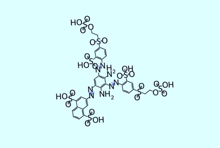 Nc1c(/N=N/c2cc(S(=O)(=O)O)c3cccc(S(=O)(=O)O)c3c2)cc(/N=N/c2ccc(S(=O)(=O)CCOS(=O)(=O)O)cc2S(=O)(=O)O)c(N)c1/N=N/c1ccc(S(=O)(=O)CCOS(=O)(=O)O)cc1S(=O)(=O)O